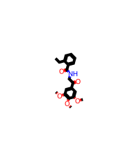 CCc1ccccc1C(=O)NCC(=O)c1cc(OC)c(OC)c(OC)c1